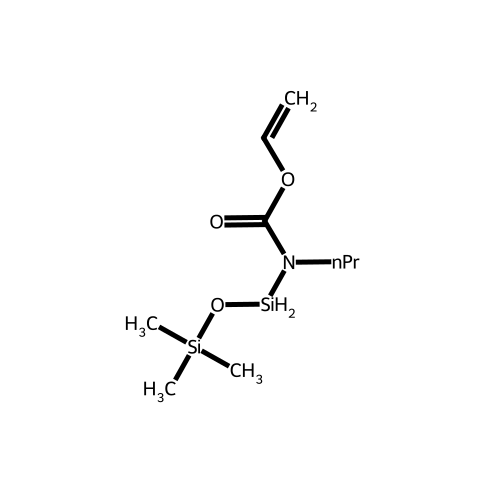 C=COC(=O)N(CCC)[SiH2]O[Si](C)(C)C